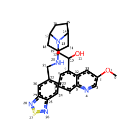 COc1cnc2cccc(C(O)CN3C4CCC3CC(NCc3ccc5nsnc5c3)C4)c2c1